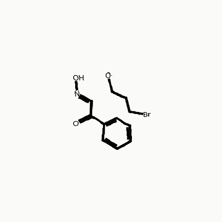 O=C(C=NO)c1ccccc1.[O]CCCBr